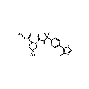 Cc1ncsc1-c1ccc(C2(NC(=O)[C@@H]3C[C@@H](O)CN3C(=O)OC(C)(C)C)CC2)cc1